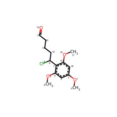 COc1cc(OC)c(C(Cl)CCCC=O)c(OC)c1